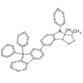 CC1CCC2c3cc(-c4ccc5c(c4)C(c4ccccc4)(c4ccccc4)c4ccccc4-5)ccc3N(c3ccccc3)C12C